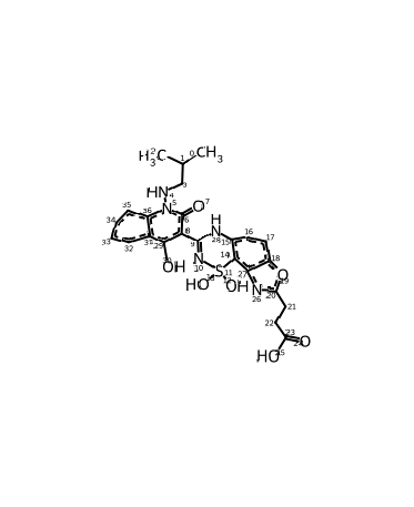 CC(C)CNn1c(=O)c(C2=NS(O)(O)c3c(ccc4oc(CCC(=O)O)nc34)N2)c(O)c2ccccc21